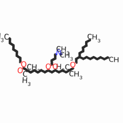 CCCCCCCCCOC(=O)C(C)(C)CCCCCC(CCCCCC(C)(C)COCCC(CCCCCCC)CCCCCCCCC)OC(=O)CCCN(C)C